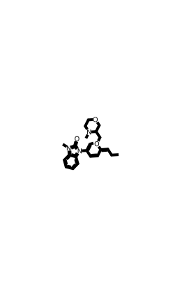 C\C=C(/C=C\C(=C/CC)OCC1COCCN1C)n1c(=O)n(C)c2ccccc21